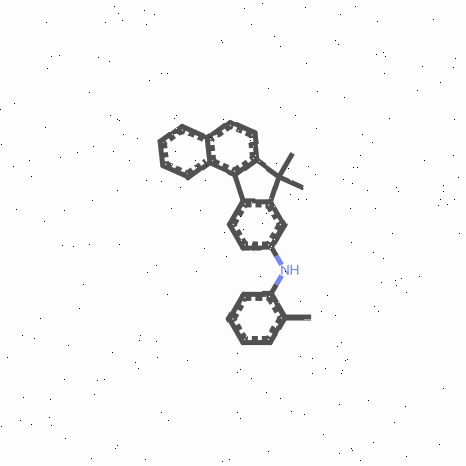 Cc1ccccc1Nc1ccc2c(c1)C(C)(C)c1ccc3ccccc3c1-2